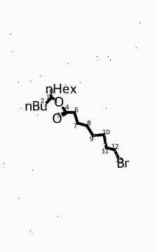 CCCCCCC(CCCC)OC(=O)CCCCCCCBr